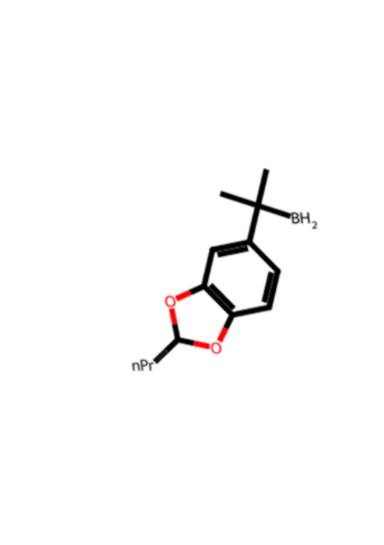 BC(C)(C)c1ccc2c(c1)OC(CCC)O2